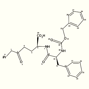 CC(C)CC(=O)CC[C@H](NC(=O)[C@H](Cc1ccccc1)NC(=O)OCc1ccccc1)C(=O)O